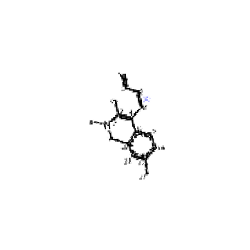 C=C/C=C\C1=C(C)N(C)Cc2cc(C)ccc21